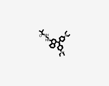 CCN(CC)c1ccc(C(=C2C=CC(=[N+](CC)CC)C=C2)c2ccc(NCCNC(=O)C(C)C)c3ccccc23)cc1